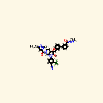 CNC(=O)c1cccc(-c2cccc(CC(O)(C(=O)Nc3ccc(C#N)c(C(F)(F)F)c3)C3CCN(C(=O)c4cc(C)nn4C)CC3)c2)c1